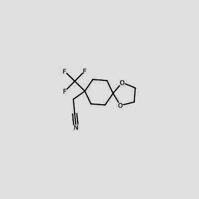 N#CCC1(C(F)(F)F)CCC2(CC1)OCCO2